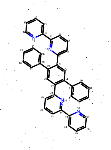 c1ccc(-c2cc(-c3cccc(-c4ccccn4)n3)c(-c3ccccc3)cc2-c2cccc(-c3ccccn3)n2)cc1